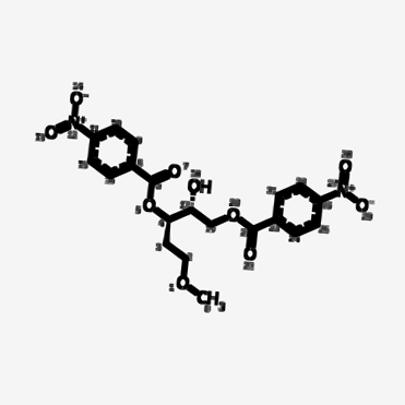 COCC[C@@H](OC(=O)c1ccc([N+](=O)[O-])cc1)[C@H](O)COC(=O)c1ccc([N+](=O)[O-])cc1